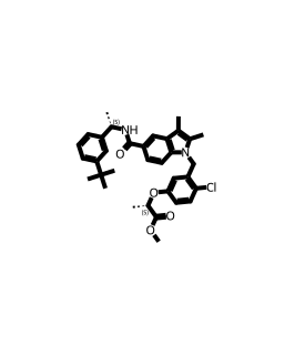 COC(=O)[C@H](C)Oc1ccc(Cl)c(Cn2c(C)c(C)c3cc(C(=O)N[C@@H](C)c4cccc(C(C)(C)C)c4)ccc32)c1